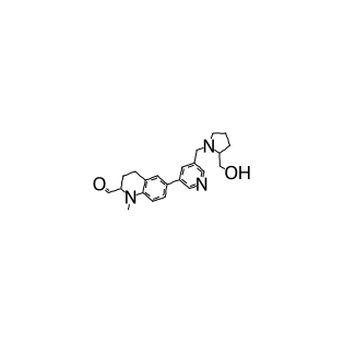 CN1c2ccc(-c3cncc(CN4CCCC4CO)c3)cc2CCC1C=O